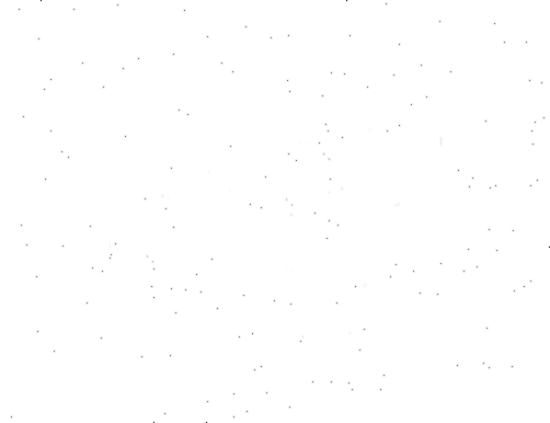 C[C@]1(c2ccc([N+](=O)[O-])cc2)C(=O)N(CC(=O)O)C(=O)N1Cc1ccccc1